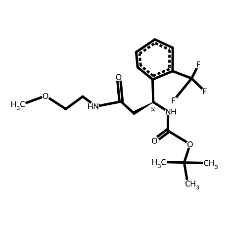 COCCNC(=O)C[C@H](NC(=O)OC(C)(C)C)c1ccccc1C(F)(F)F